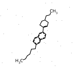 CCCCCCc1ccc2cc(C3=CCC(CCC)CC3)ccc2c1